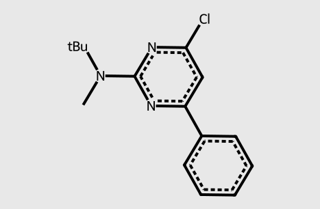 CN(c1nc(Cl)cc(-c2ccccc2)n1)C(C)(C)C